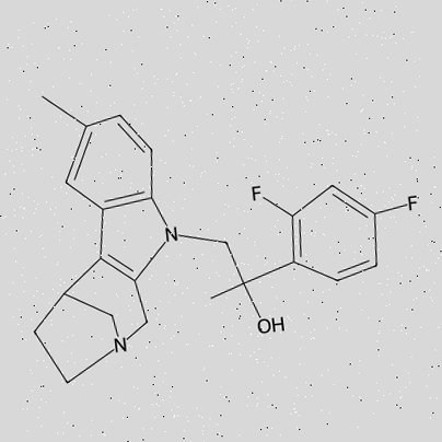 Cc1ccc2c(c1)c1c(n2CC(C)(O)c2ccc(F)cc2F)CN2CCC1C2